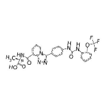 C[C@@H](NC(=O)c1cccn2c(-c3ccc(NC(=O)Nc4ccccc4OC(F)(F)F)cc3)nnc12)C(=O)O